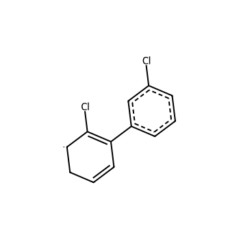 ClC1=C(c2cccc(Cl)c2)C=CC[CH]1